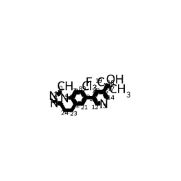 Cc1nnc2n1-c1cc(Cl)c(-c3cncc([C@](C)(O)C(F)(F)F)c3)cc1CC2